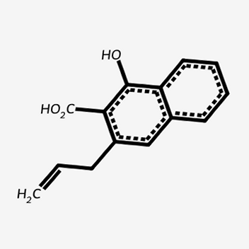 C=CCc1cc2ccccc2c(O)c1C(=O)O